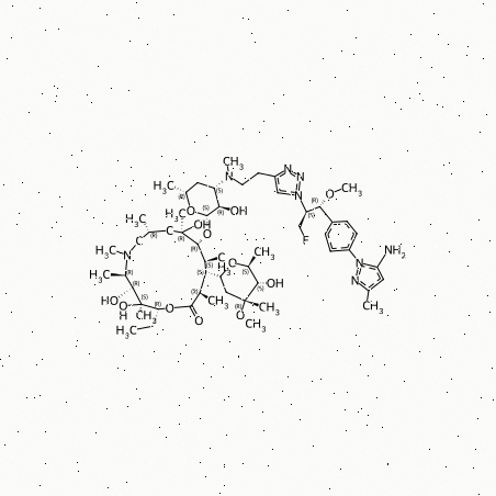 CC[C@H]1OC(=O)[C@H](C)[C@@H](C2C[C@@](C)(OC)[C@@H](O)[C@H](C)O2)[C@H](C)[C@@H](O[C@@H]2O[C@H](C)C[C@H](N(C)CCc3cn([C@H](CF)[C@H](OC)c4ccc(-n5nc(C)cc5N)cc4)nn3)[C@H]2O)[C@](C)(O)C[C@@H](C)CN(C)[C@H](C)[C@@H](O)[C@]1(C)O